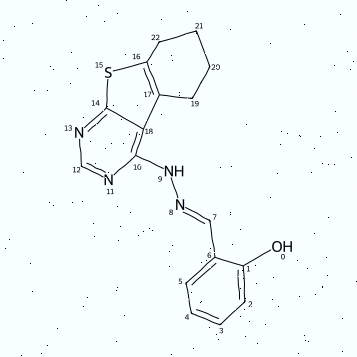 Oc1ccccc1C=NNc1ncnc2sc3c(c12)CCCC3